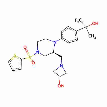 C[C@](O)(c1ccc(N2CCN(S(=O)(=O)c3cccs3)C[C@@H]2CN2CC(O)C2)cc1)C(F)(F)F